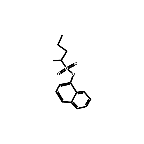 CCCC(C)S(=O)(=O)Oc1cccc2ccccc12